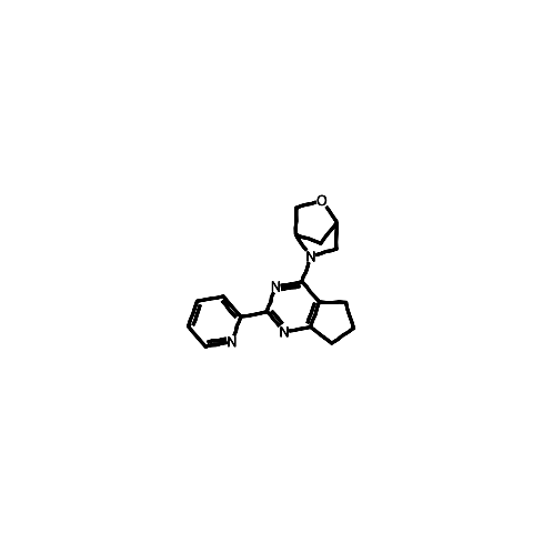 c1ccc(-c2nc3c(c(N4CC5CC4CO5)n2)CCC3)nc1